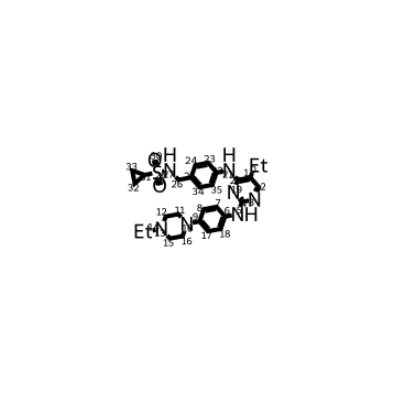 CCc1cnc(Nc2ccc(N3CCN(CC)CC3)cc2)nc1Nc1ccc(CNS(=O)(=O)C2CC2)cc1